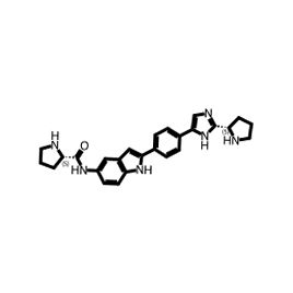 O=C(Nc1ccc2[nH]c(-c3ccc(-c4cnc([C@@H]5CCCN5)[nH]4)cc3)cc2c1)[C@@H]1CCCN1